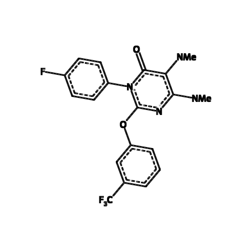 CNc1nc(Oc2cccc(C(F)(F)F)c2)n(-c2ccc(F)cc2)c(=O)c1NC